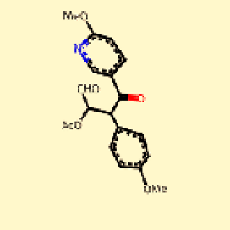 COc1ccc(C(C(=O)c2ccc(OC)nc2)C(C=O)OC(C)=O)cc1